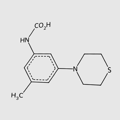 Cc1cc(NC(=O)O)cc(N2CCSCC2)c1